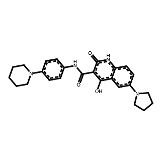 O=C(Nc1ccc(N2CCCCC2)cc1)c1c(O)c2cc(N3CCCC3)ccc2[nH]c1=O